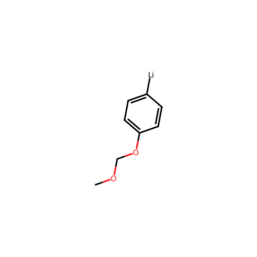 [Li][c]1ccc(OCOC)cc1